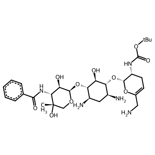 CC(C)(C)OC(=O)N[C@@H]1CC=C(CN)O[C@@H]1O[C@H]1[C@H](O)[C@@H](O[C@H]2OC[C@](C)(O)[C@H](NC(=O)c3ccccc3)[C@H]2O)[C@H](N)C[C@@H]1N